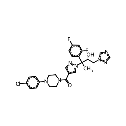 C[C@@](c1ccc(F)cc1F)([C@H](O)Cn1cncn1)n1cc(C(=O)N2CCN(c3ccc(Cl)cc3)CC2)cn1